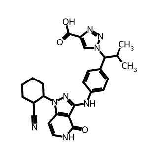 CC(C)C(c1ccc(Nc2nn(C3CCCCC3C#N)c3cc[nH]c(=O)c23)cc1)n1cc(C(=O)O)nn1